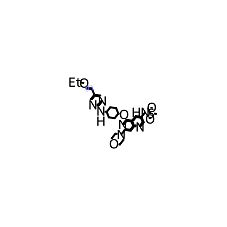 CCO/C=C/c1cnc(NC2CCC(Oc3nc(N4CCOCC4)cc4ncc(NS(C)(=O)=O)cc34)CC2)nc1